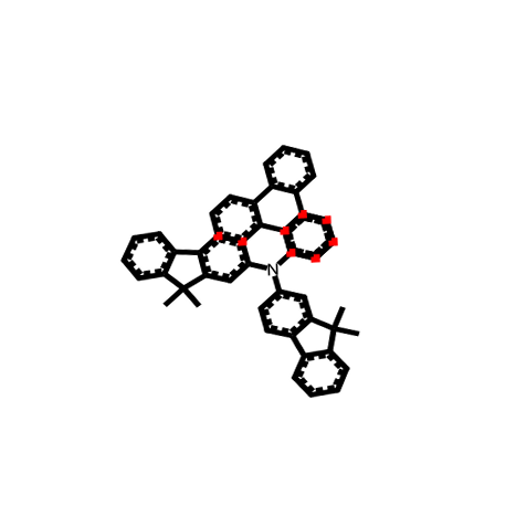 CC1(C)c2ccccc2-c2ccc(N(c3ccc4c(c3)C(C)(C)c3ccccc3-4)c3ccccc3-c3ccccc3-c3ccccc3-c3ccccc3)cc21